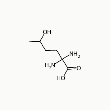 CC(O)CCC(N)(N)C(=O)O